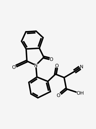 N#CC(C(=O)O)C(=O)c1ccccc1N1C(=O)c2ccccc2C1=O